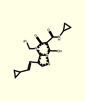 CC(C)Cn1c(=O)c(C(=O)NC2CC2)c(O)n2ncc(C=CC3CC3)c12